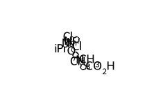 Cc1cc(OCc2c(C(C)C)nnn2-c2c(Cl)cccc2Cl)ccc1N(C)Cc1cccc(C(=O)O)c1